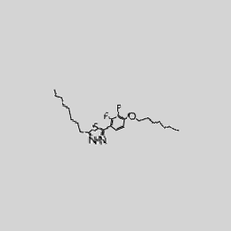 CCCCCCCCc1nnc(-c2ccc(OCCCCCCC)c(F)c2F)s1